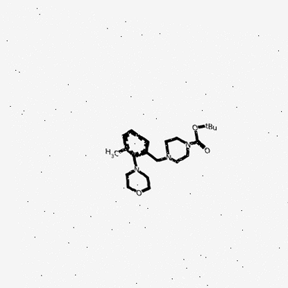 Cc1cccc(CN2CCN(C(=O)OC(C)(C)C)CC2)c1N1CCOCC1